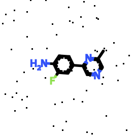 Cc1cncc(-c2ccc(N)c(F)c2)n1